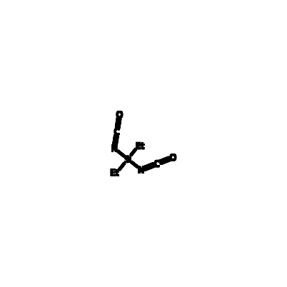 CC[Si](CC)(N=C=O)N=C=O